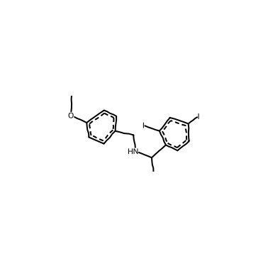 COc1ccc(CNC(C)c2ccc(I)cc2I)cc1